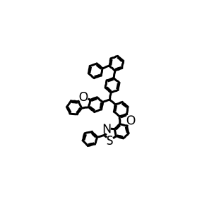 c1ccc(-c2nc3c(ccc4oc5ccc(C(c6ccc(-c7ccccc7-c7ccccc7)cc6)c6ccc7c(c6)oc6ccccc67)cc5c43)s2)cc1